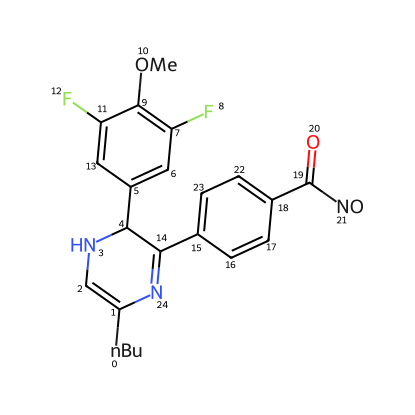 CCCCC1=CNC(c2cc(F)c(OC)c(F)c2)C(c2ccc(C(=O)N=O)cc2)=N1